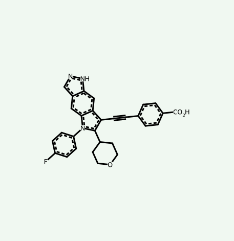 O=C(O)c1ccc(C#Cc2c(C3CCOCC3)n(-c3ccc(F)cc3)c3cc4cn[nH]c4cc23)cc1